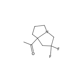 CC(=O)C12CCCN1CC(F)(F)C2